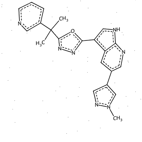 Cn1cc(-c2cnc3[nH]cc(-c4nnc(C(C)(C)c5cccnc5)o4)c3c2)cn1